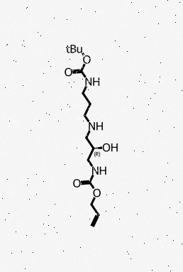 C=CCOC(=O)NC[C@H](O)CNCCCNC(=O)OC(C)(C)C